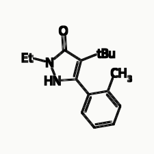 CCn1[nH]c(-c2ccccc2C)c(C(C)(C)C)c1=O